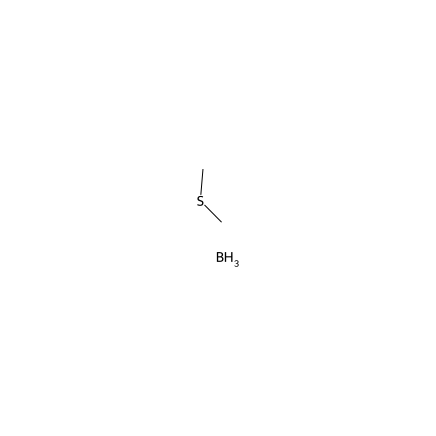 B.CSC